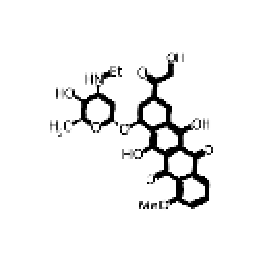 CCN[C@H]1C[C@H](O[C@H]2CC(C(=O)CO)Cc3c(O)c4c(c(O)c32)C(=O)c2c(OC)cccc2C4=O)O[C@@H](C)[C@H]1O